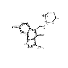 Cc1[nH]nc2c1c(=O)n(CC[C@H]1CCCCN1)c1ccc(Cl)cc21